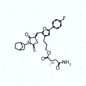 C[C@@H](CC(N)=O)C(=O)OCCCc1cc(-c2ccc(F)cc2)oc1/C=C1\SC(=S)N(C2CC3CCC2C3)C1=O